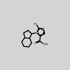 COC(=O)c1cnc(S)n1C1CCC2CCCCC21